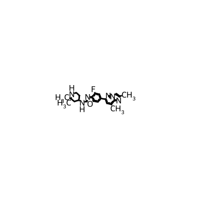 Cc1cn2nc(-c3cc(F)c4nc(NC5CCNC(C)(C)C5)oc4c3)cc(C)c2n1